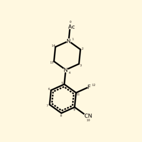 CC(=O)N1CCN(c2cccc(C#N)c2F)CC1